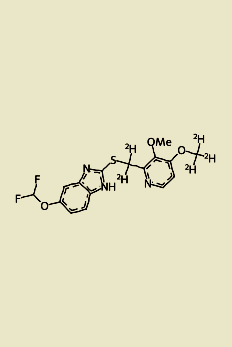 [2H]C([2H])([2H])Oc1ccnc(C([2H])([2H])Sc2nc3cc(OC(F)F)ccc3[nH]2)c1OC